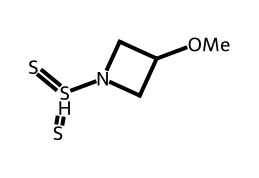 COC1CN([SH](=S)=S)C1